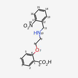 O=C(O)c1ccccc1OCCNCc1ccccc1[N+](=O)[O-]